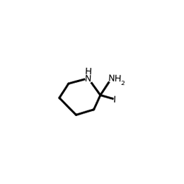 NC1(I)CCCCN1